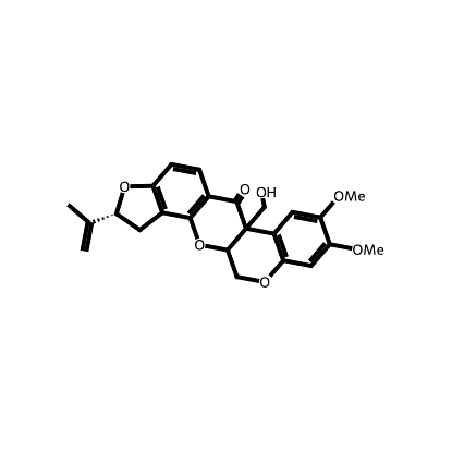 C=C(C)[C@H]1Cc2c(ccc3c2OC2COc4cc(OC)c(OC)cc4C2(CO)C3=O)O1